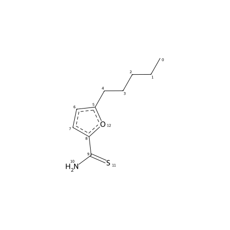 CCCCCc1ccc(C(N)=S)o1